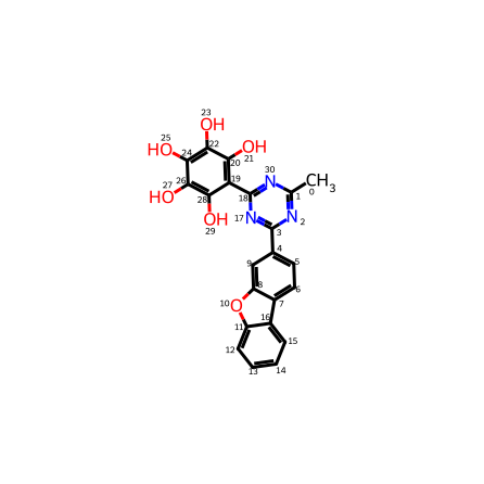 Cc1nc(-c2ccc3c(c2)oc2ccccc23)nc(-c2c(O)c(O)c(O)c(O)c2O)n1